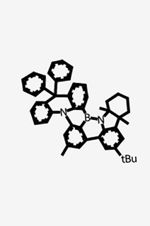 Cc1cc2c3c(c1)N1c4ccccc4C(c4ccccc4)(c4ccccc4)c4cccc(c41)B3N1c3c-2cc(C(C)(C)C)cc3C2(C)CCCCC12C